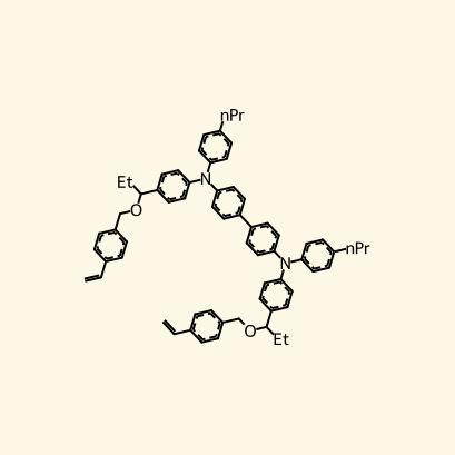 C=Cc1ccc(COC(CC)c2ccc(N(c3ccc(CCC)cc3)c3ccc(-c4ccc(N(c5ccc(CCC)cc5)c5ccc(C(CC)OCc6ccc(C=C)cc6)cc5)cc4)cc3)cc2)cc1